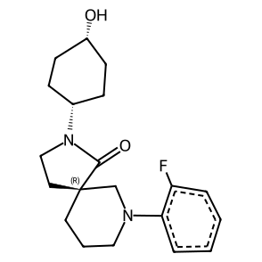 O=C1N([C@H]2CC[C@@H](O)CC2)CC[C@@]12CCCN(c1ccccc1F)C2